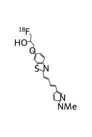 CNc1ccc(/C=C/C=C/c2nc3ccc(OCC(O)C[18F])cc3s2)cn1